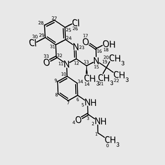 CCNC(=O)Nc1cccc(-n2c([C@H](C)N(C(=O)O)C(C)(C)C)nc3c(Cl)ccc(Cl)c3c2=O)c1